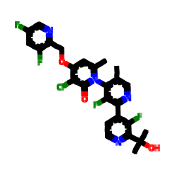 Cc1cnc(-c2ccnc(C(C)(C)O)c2F)c(F)c1-n1c(C)cc(OCc2ncc(F)cc2F)c(Cl)c1=O